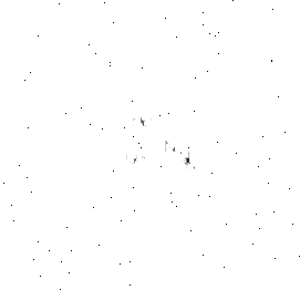 CCCCCCCCCOC(=O)CCCCCCN(CCCCCCOC(=O)C(CCCCCC)CCCCCCCC)CCCn1ccnc1C